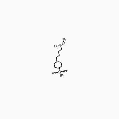 CC(C)O[SiH2]CCCCN1CCN([Si](C(C)C)(C(C)C)C(C)C)CC1